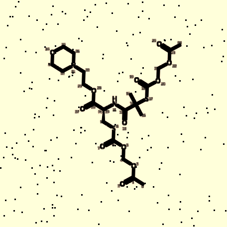 CC(=O)OCOC(=O)SC[C@H](NC(=O)C(C)(C)SC(=O)OCOC(C)=O)C(=O)OCCN1CCOCC1